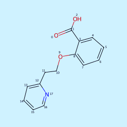 O=C(O)c1ccccc1OCCc1ccccn1